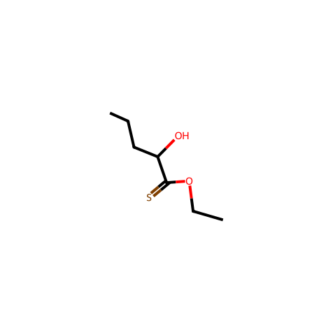 CCCC(O)C(=S)OCC